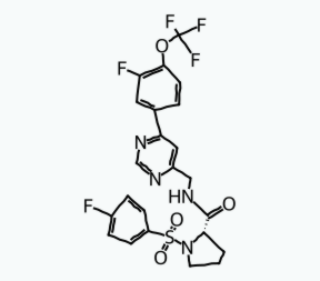 O=C(NCc1cc(-c2ccc(OC(F)(F)F)c(F)c2)ncn1)[C@@H]1CCCN1S(=O)(=O)c1ccc(F)cc1